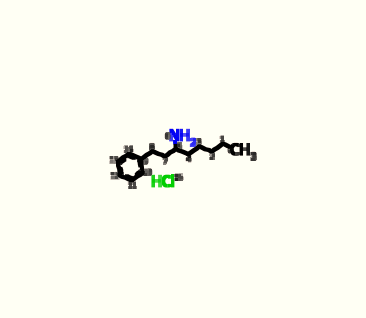 CCCCCC(N)CCc1ccccc1.Cl